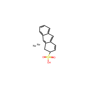 O=S(=O)(O)C1C=Cc2cc3ccccc3cc2C1.[Na].[Na]